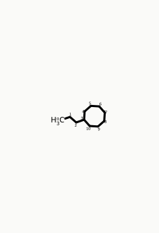 CCCC1CCC[CH]CCC1